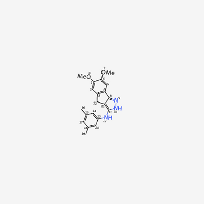 COc1cc2c(cc1OC)-c1n[nH]c(Nc3cc(C)cc(C)c3)c1C2